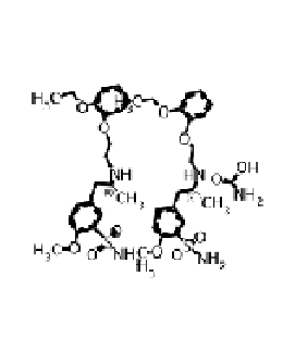 CCOc1ccccc1OCCN[C@H](C)Cc1ccc(OC)c(S(N)(=O)=O)c1.CCOc1ccccc1OCCN[C@H](C)Cc1ccc(OC)c(S(N)(=O)=O)c1.NC(=O)O